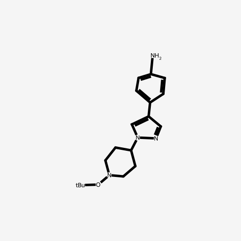 CC(C)(C)ON1CCC(n2cc(-c3ccc(N)cc3)cn2)CC1